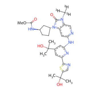 [2H]C([2H])([2H])n1c(=O)n([C@@H]2CC[C@@H](NC(=O)OC)C2)c2cc(Nc3cc(C(C)(C)O)cc(-c4ncc(C(C)(C)O)s4)n3)ncc21